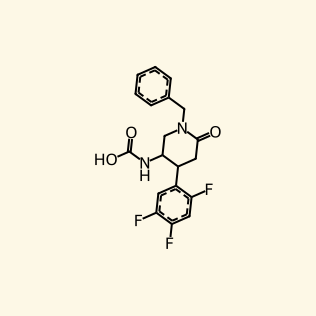 O=C(O)NC1CN(Cc2ccccc2)C(=O)CC1c1cc(F)c(F)cc1F